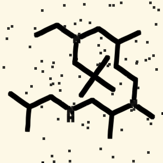 CCN(CC(C)CCN(C)C(C)CNCC(C)C)CC(C)(C)C